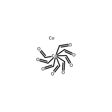 O=[CH][Co]([CH]=O)([CH]=O)([CH]=O)([CH]=O)([CH]=O)([CH]=O)[CH]=O.[Co]